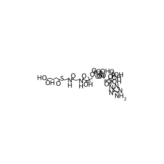 CC(C)(COP(=O)(O)OP(=O)(O)OC[C@H]1O[C@@H](n2cnc3c(N)ncnc32)[C@H](O)[C@@H]1OP(=O)(O)O)[C@@H](O)C(=O)NCCC(=O)NCCSC(=O)CCCC(O)O